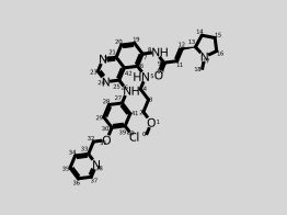 COCCCNc1c(NC(=O)/C=C/[C@H]2CCCN2C)ccc2ncnc(Nc3ccc(OCc4ccccn4)c(Cl)c3)c12